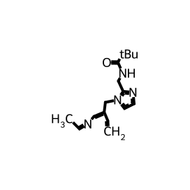 C=C/C(=C\N=C/C)Cn1ccnc1CNC(=O)C(C)(C)C